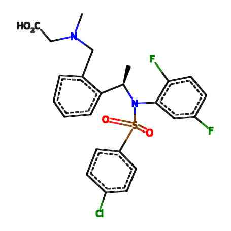 C[C@H](c1ccccc1CN(C)CC(=O)O)N(c1cc(F)ccc1F)S(=O)(=O)c1ccc(Cl)cc1